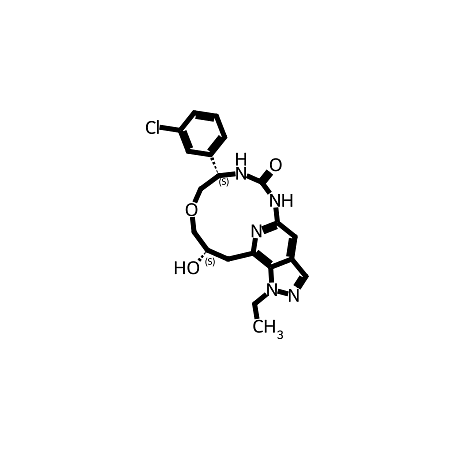 CCn1ncc2cc3nc(c21)C[C@H](O)COC[C@H](c1cccc(Cl)c1)NC(=O)N3